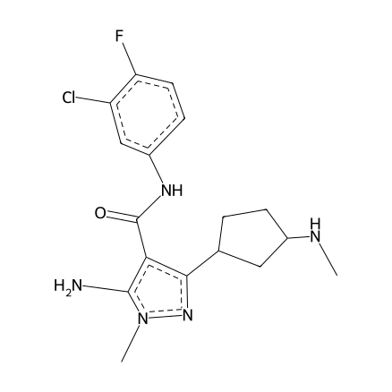 CNC1CCC(c2nn(C)c(N)c2C(=O)Nc2ccc(F)c(Cl)c2)C1